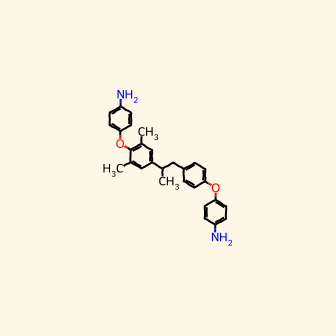 Cc1cc(C(C)Cc2ccc(Oc3ccc(N)cc3)cc2)cc(C)c1Oc1ccc(N)cc1